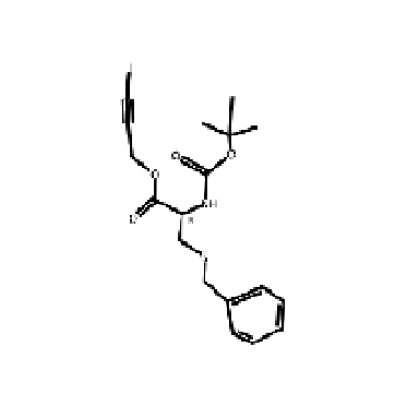 CC(C)(C)OC(=O)N[C@@H](CSCc1ccccc1)C(=O)OCC#CI